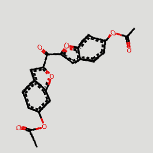 CC(=O)Oc1ccc2cc(C(=O)c3cc4ccc(OC(C)=O)cc4o3)oc2c1